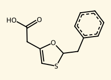 O=C(O)CC1=CSC(Cc2ccccc2)O1